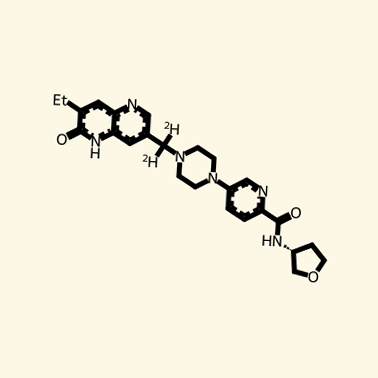 [2H]C([2H])(c1cnc2cc(CC)c(=O)[nH]c2c1)N1CCN(c2ccc(C(=O)N[C@@H]3CCOC3)nc2)CC1